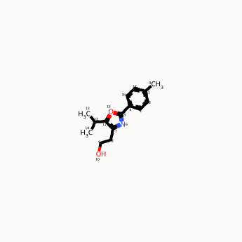 Cc1ccc(-c2nc(CCO)c(C(C)C)o2)cc1